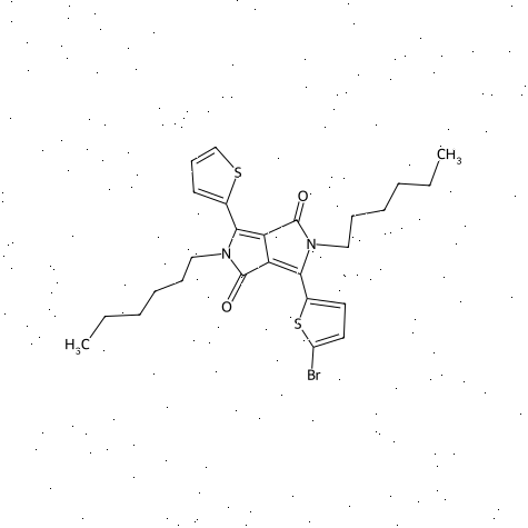 CCCCCCN1C(=O)C2=C(c3ccc(Br)s3)N(CCCCCC)C(=O)C2=C1c1cccs1